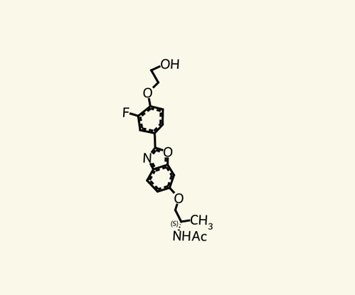 CC(=O)N[C@@H](C)COc1ccc2nc(-c3ccc(OCCO)c(F)c3)oc2c1